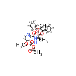 COc1ccnc(C(=O)N[C@@H](C)C(=O)O[C@H](c2ccccc2)[C@H](C)Oc2ccccc2)c1OCOC(C)=O